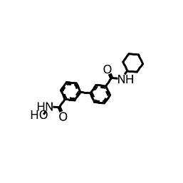 O=C(NO)c1cccc(-c2cccc(C(=O)NC3CCCCC3)c2)c1